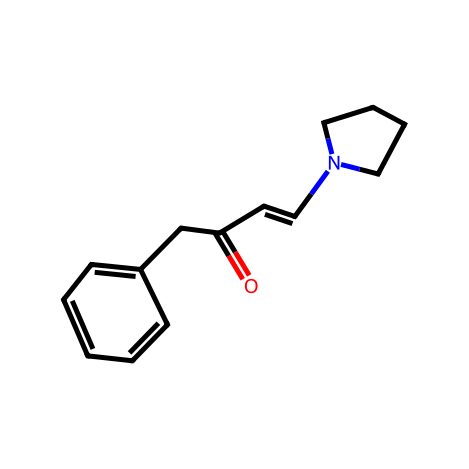 O=C(C=CN1CCCC1)Cc1ccccc1